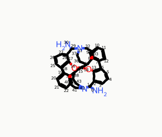 NC1c2cccc(-c3ccccc3)c2OC2(Oc3c(-c4ccccc4)cccc3C(N)N3CCCC2CC3)C2CCCN1CC2